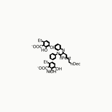 CCCCCCCCCCCCC=CC(=Nc1ccccc1)C(CCCCC)=Nc1ccccc1.CCc1ccc(O)c(O)c1C(=O)[O-].CCc1ccc(O)c(O)c1C(=O)[O-].[Ni+2]